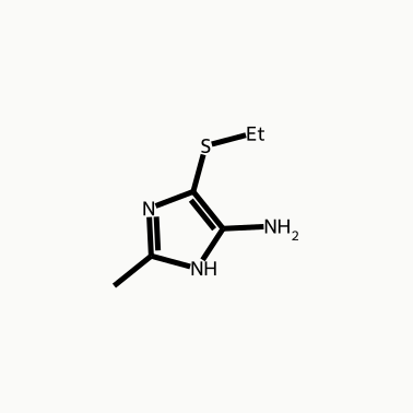 CCSc1nc(C)[nH]c1N